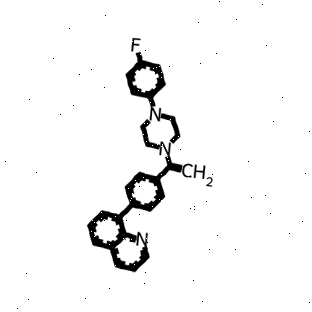 C=C(c1ccc(-c2cccc3cccnc23)cc1)N1CCN(c2ccc(F)cc2)CC1